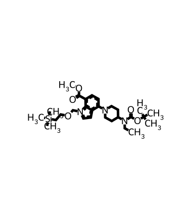 CCN(C(=O)OC(C)(C)C)C1CCN(c2ccc(C(=O)OC)c3c2ccn3COCC[Si](C)(C)C)CC1